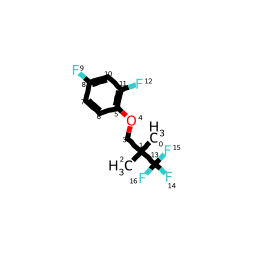 CC(C)(COc1ccc(F)cc1F)C(F)(F)F